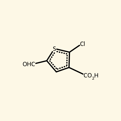 O=Cc1cc(C(=O)O)c(Cl)s1